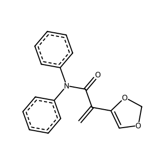 C=C(C(=O)N(c1ccccc1)c1ccccc1)C1=COCO1